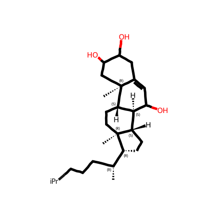 CC(C)CCC[C@@H](C)[C@H]1CC[C@H]2[C@@H]3C(O)C=C4CC(O)C(O)C[C@]4(C)[C@H]3CC[C@]12C